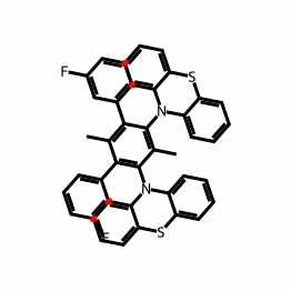 Cc1c(-c2cccc(F)c2)c(N2c3ccccc3Sc3ccccc32)c(C)c(N2c3ccccc3Sc3ccccc32)c1-c1cccc(F)c1